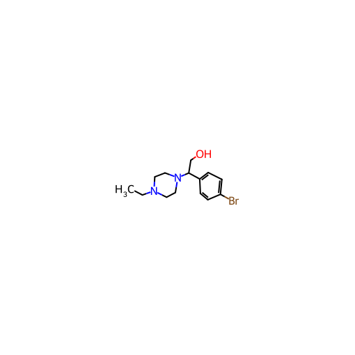 CCN1CCN(C(CO)c2ccc(Br)cc2)CC1